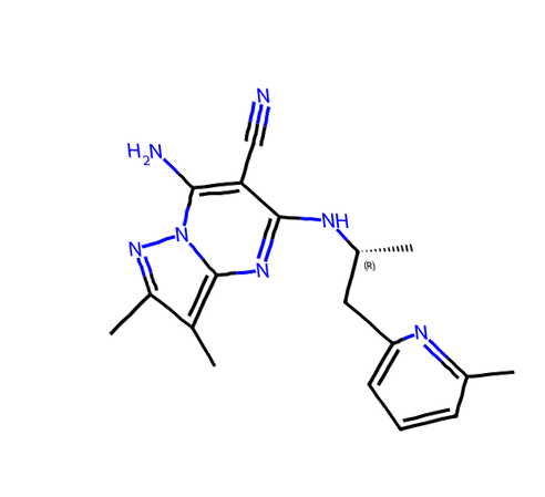 Cc1cccc(C[C@@H](C)Nc2nc3c(C)c(C)nn3c(N)c2C#N)n1